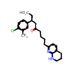 O=C(O)CC(CC(=O)CCCCc1ccc2c(n1)NCCC2)c1ccc(Cl)c(C(F)(F)F)c1